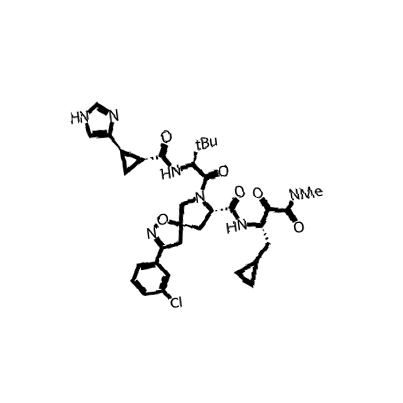 CNC(=O)C(=O)[C@H](CC1CC1)NC(=O)[C@@H]1C[C@]2(CC(c3cccc(Cl)c3)=NO2)CN1C(=O)[C@@H](NC(=O)[C@@H]1C[C@H]1c1c[nH]cn1)C(C)(C)C